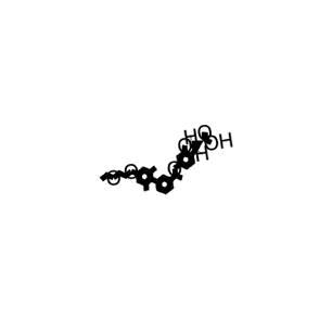 CCOCCOc1cc(C)c(-c2cccc(C(C)Oc3ccc4c(c3)O[C@H]3[C@H](C(=O)O)[C@@H]43)c2)c(C)c1